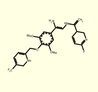 C=C(N/C=C(\N)c1cc(OC)c(OCC2=CC=C(C(F)(F)F)CN2)c(OC)c1)C1C=CC(F)=NC1